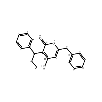 CCC(c1ccccc1)c1c(O)cc(Cc2ccccc2)oc1=O